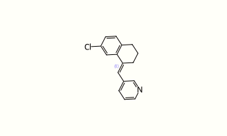 Clc1ccc2c(c1)/C(=C/c1cccnc1)CCC2